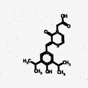 CC(C)c1cc(C=C2SC=CN(CC(=O)O)C2=O)cc(C(C)C)c1O